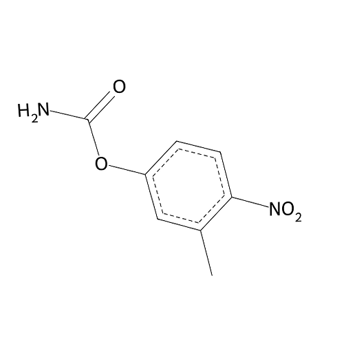 Cc1cc(OC(N)=O)ccc1[N+](=O)[O-]